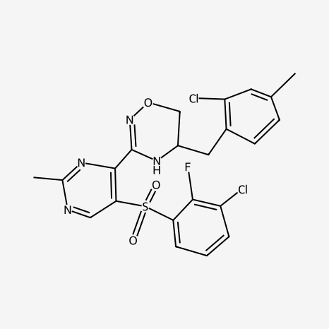 Cc1ccc(CC2CON=C(c3nc(C)ncc3S(=O)(=O)c3cccc(Cl)c3F)N2)c(Cl)c1